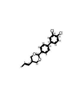 CC=CC1COC(c2ccc(-c3ccc(Cl)c(Cl)c3)cc2)OC1